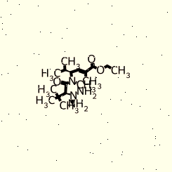 CCOC(=O)/C(C)=C/[C@H](C(C)C)N(C)C(=O)[C@@H](N(N)N)C(C)(C)C